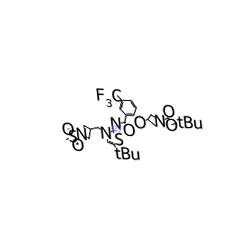 CC(C)(C)OC(=O)N1CC(Oc2ccc(C(F)(F)F)cc2C(=O)/N=c2\sc(C(C)(C)C)cn2CC2CN(S(C)(=O)=O)C2)C1